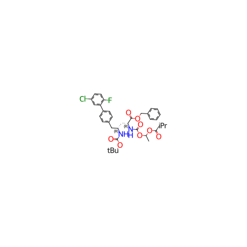 CC(OC(=O)N[C@H](C[C@@H](Cc1ccc(-c2cc(Cl)ccc2F)cc1)NC(=O)OC(C)(C)C)C(=O)OCc1ccccc1)OC(=O)C(C)C